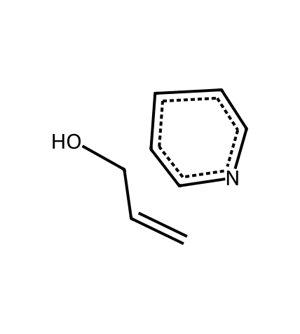 C=CCO.c1ccncc1